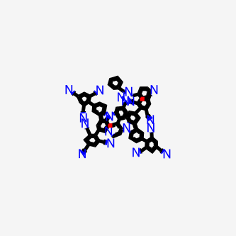 N#Cc1cc(C#N)c(-c2ccc3c(c2)c2cc(-c4c(C#N)cc(C#N)cc4C#N)ccc2n3-c2ccncc2-c2ccc(-c3nc(-c4ccccc4)nc(-c4ccccc4)n3)cc2-n2c3ccc(-c4c(C#N)cc(C#N)cc4C#N)cc3c3cc(-c4c(C#N)cc(C#N)cc4C#N)ccc32)c(C#N)c1